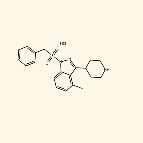 Cc1cccc2c1c(C1CCNCC1)nn2S(=O)(=O)Cc1ccccc1.Cl